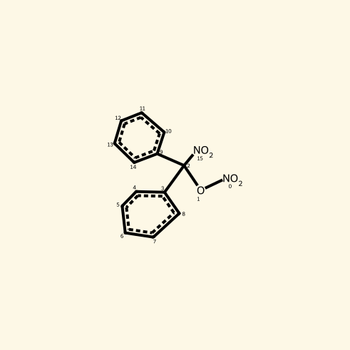 O=[N+]([O-])OC(c1ccccc1)(c1ccccc1)[N+](=O)[O-]